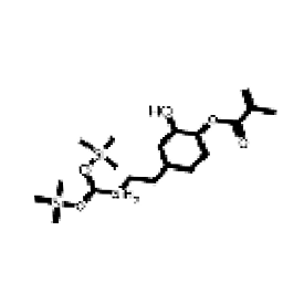 C=C(C)C(=O)OC1CCC(CC[SiH2]C(O[Si](C)(C)C)O[Si](C)(C)C)CC1O